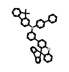 CC1(C)c2ccccc2-c2ccc(N(c3ccc(-c4ccccc4)cc3)c3cccc(-c4ccc5c(c4)C4(c6ccccc6O5)c5ccccc5-c5ccccc54)c3)cc21